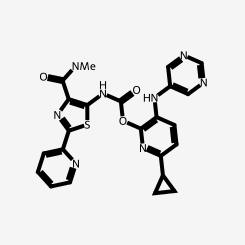 CNC(=O)c1nc(-c2ccccn2)sc1NC(=O)Oc1nc(C2CC2)ccc1Nc1cncnc1